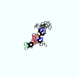 COCN(c1cc(C)cnc1C(=O)c1ccnc2c1ccn2[Si](C)(C)C(C)(C)C)S(=O)(=O)c1ccc(Cl)c(Cl)c1